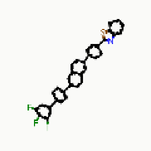 Fc1cc(-c2ccc(-c3ccc4cc(-c5ccc(-c6nc7ccccc7s6)cc5)ccc4c3)cc2)cc(F)c1F